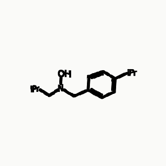 CC(C)CN(O)Cc1ccc(C(C)C)cc1